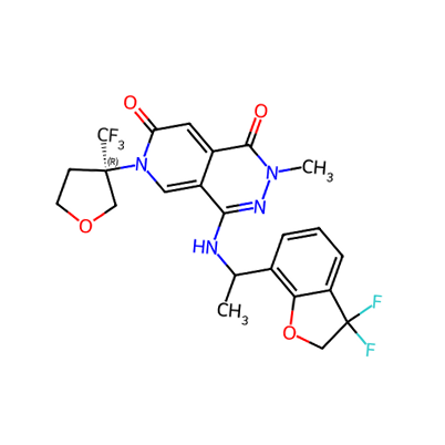 CC(Nc1nn(C)c(=O)c2cc(=O)n([C@]3(C(F)(F)F)CCOC3)cc12)c1cccc2c1OCC2(F)F